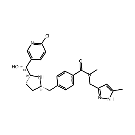 Cc1cc(CN(C)C(=O)c2ccc(C[C@@H]3CC[C@H]([C@H](O)c4ccc(Cl)nc4)N3)cc2)n[nH]1